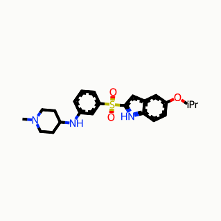 CC(C)Oc1ccc2[nH]c(S(=O)(=O)c3cccc(NC4CCN(C)CC4)c3)cc2c1